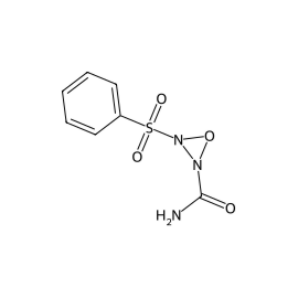 NC(=O)n1on1S(=O)(=O)c1ccccc1